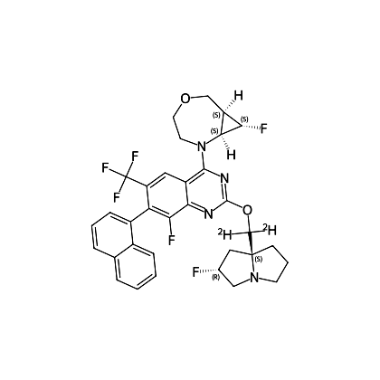 [2H]C([2H])(Oc1nc(N2CCOC[C@H]3[C@H](F)[C@H]32)c2cc(C(F)(F)F)c(-c3cccc4ccccc34)c(F)c2n1)[C@@]12CCCN1C[C@H](F)C2